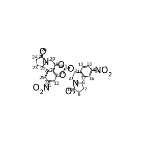 O=C(OC(CN1CCCC1=O)c1ccc([N+](=O)[O-])cc1)OC(CN1CCCC1=O)c1ccc([N+](=O)[O-])cc1